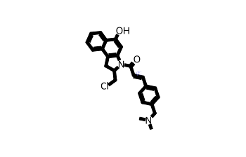 CN(C)Cc1ccc(/C=C/C(=O)N2c3cc(O)c4ccccc4c3CC2CCl)cc1